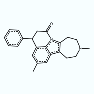 Cc1cc2c3c(c1)c1c(n3C(=O)CC2c2ccccc2)CCN(C)CC1